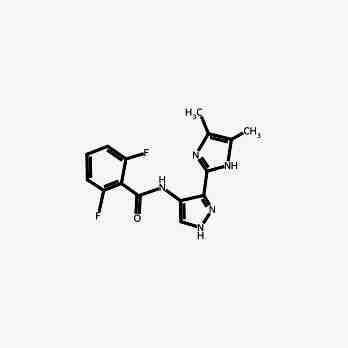 Cc1nc(-c2n[nH]cc2NC(=O)c2c(F)cccc2F)[nH]c1C